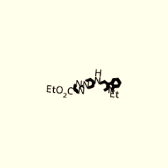 CCOC(=O)c1cnc(N2CCC(NCCc3c(C)n(CC)c4ccccc34)CC2)nc1